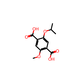 COc1cc(C(=O)O)c(OC(C)C)cc1C(=O)O